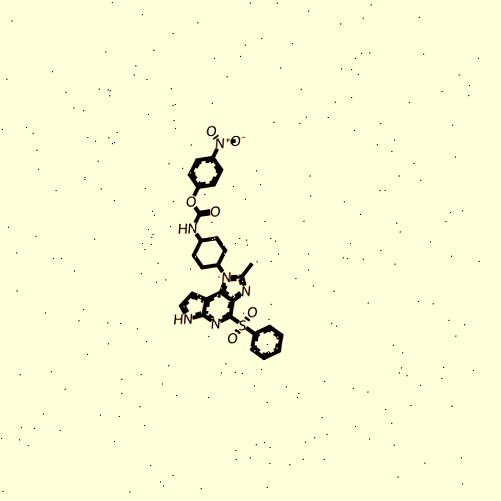 Cc1nc2c(S(=O)(=O)c3ccccc3)nc3[nH]ccc3c2n1C1CCC(NC(=O)Oc2ccc([N+](=O)[O-])cc2)CC1